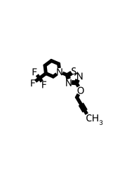 CC#CCOc1nsc(N2CCCC(C(F)(F)F)C2)n1